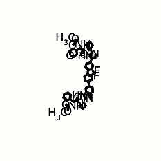 COC(=O)N[C@H](C(=O)N1CCCC1c1ncc(-c2ccc3c(c2)C(F)(F)c2cc(-c4ccc5nc([C@@H]6CCCN6C(=O)[C@H](NC(=O)OC)c6ccccc6)[nH]c5c4)ccc2-3)[nH]1)C1CCOCC1